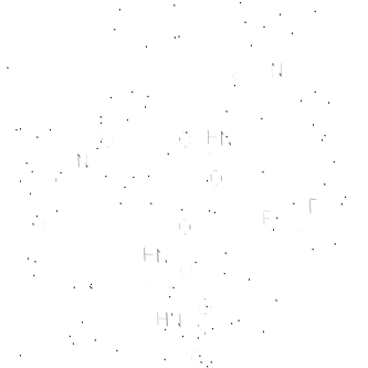 CCc1csc(-c2ccc(C(F)(F)F)cc2NC(=O)OC2CC3C(=O)NC4(C(=O)NS(=O)(=O)C5CC5)CC4/C=C/CCCCN(C)C(=O)C3C2)n1